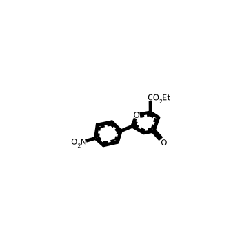 CCOC(=O)c1cc(=O)cc(-c2ccc([N+](=O)[O-])cc2)o1